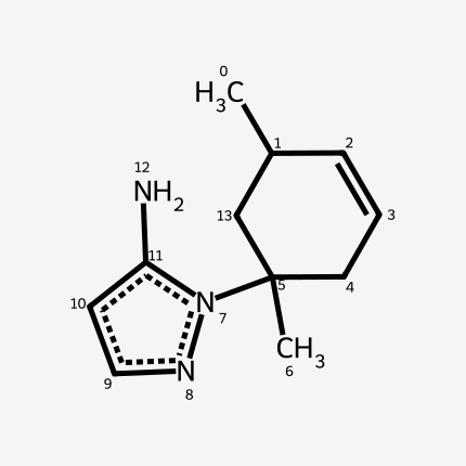 CC1C=CCC(C)(n2nccc2N)C1